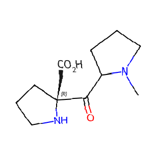 CN1CCCC1C(=O)[C@@]1(C(=O)O)CCCN1